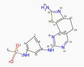 CS(=O)(=O)Nc1cccc(Nc2ncc3c(n2)-c2sc(N)nc2CC3)c1